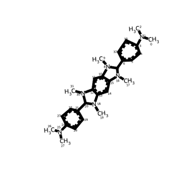 CN(C)c1ccc(C2N(C)c3cc4c(cc3N2C)N(C)C(c2ccc(N(C)C)cc2)N4C)cc1